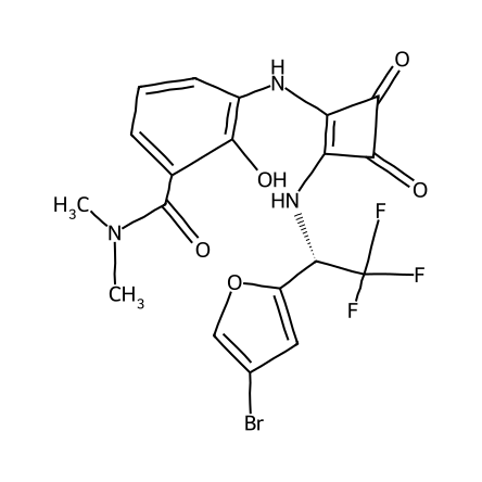 CN(C)C(=O)c1cccc(Nc2c(N[C@@H](c3cc(Br)co3)C(F)(F)F)c(=O)c2=O)c1O